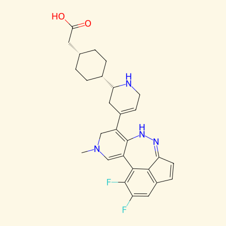 CN1C=C2C(=C(C3=CCNC([C@H]4CC[C@@H](CC(=O)O)CC4)C3)C1)NN=C1C=Cc3cc(F)c(F)c2c31